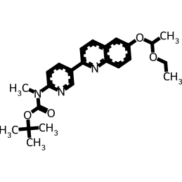 CCOC(C)Oc1ccc2nc(-c3ccc(N(C)C(=O)OC(C)(C)C)nc3)ccc2c1